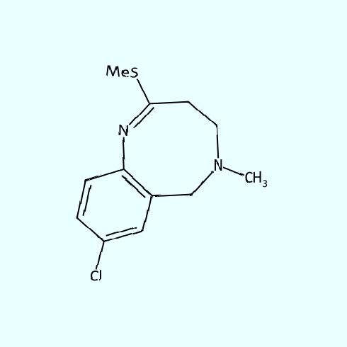 CSC1=Nc2ccc(Cl)cc2CN(C)CC1